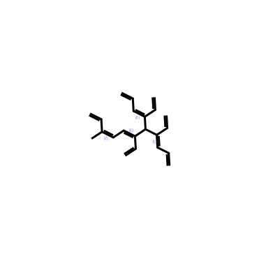 C=C/C=C(\C=C)C(/C(C=C)=C/C=C)/C(C=C)=C/C=C(/C)C=C